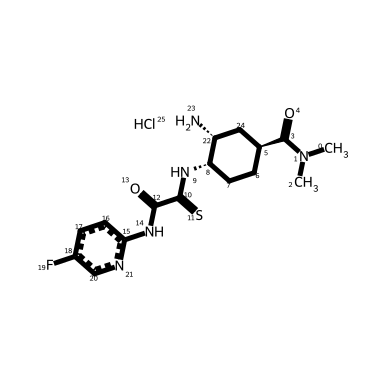 CN(C)C(=O)[C@H]1CC[C@H](NC(=S)C(=O)Nc2ccc(F)cn2)[C@H](N)C1.Cl